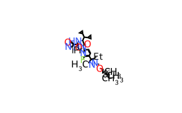 CCc1c(-c2ccc(NC(=O)[C@@H](NC(=O)c3conc3C(C)C)C(C3CC3)C3CC3)nc2F)c(C)nn1COCC[Si](C)(C)C